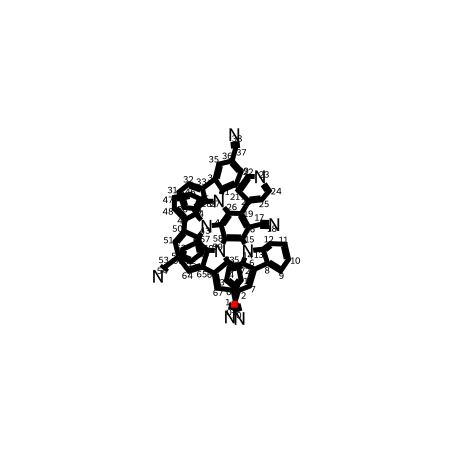 N#Cc1ccc2c(c1)c1ccccc1n2-c1c(C#N)c(-c2ccncc2)c(-n2c3ccccc3c3cc(C#N)ccc32)c(-n2c3ccccc3c3cc(C#N)ccc32)c1-n1c2ccccc2c2cc(C#N)ccc21